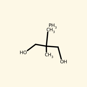 CC(C)(CO)CO.P